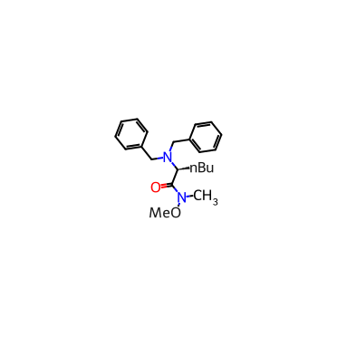 CCCC[C@@H](C(=O)N(C)OC)N(Cc1ccccc1)Cc1ccccc1